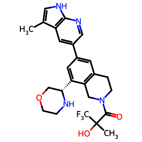 Cc1c[nH]c2ncc(-c3cc4c(c([C@H]5COCCN5)c3)CN(C(=O)C(C)(O)C(F)(F)F)CC4)cc12